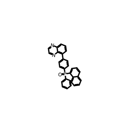 O=P(c1ccccc1)(c1ccc(-c2cccc3nccnc23)cc1)c1cccc2ccccc12